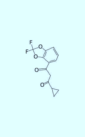 O=C(CC(=O)C1CC1)c1cccc2c1OC(F)(F)O2